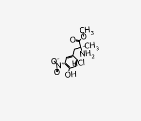 COC(=O)[C@@](C)(N)Cc1ccc(O)c([N+](=O)[O-])c1.Cl